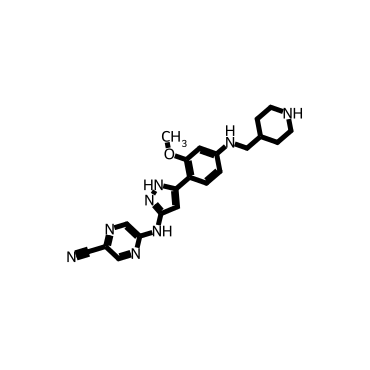 COc1cc(NCC2CCNCC2)ccc1-c1cc(Nc2cnc(C#N)cn2)n[nH]1